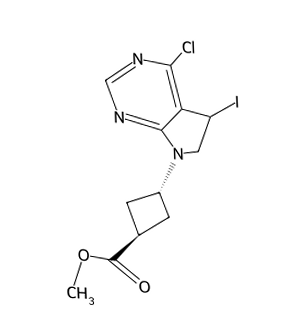 COC(=O)[C@H]1C[C@H](N2CC(I)c3c(Cl)ncnc32)C1